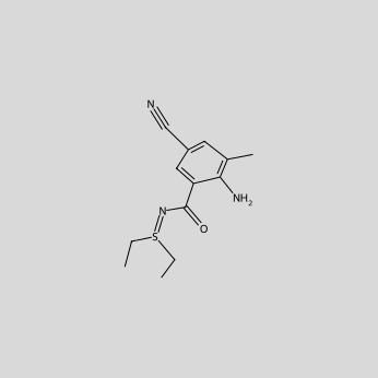 CCS(CC)=NC(=O)c1cc(C#N)cc(C)c1N